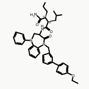 CCC[C@H](C(N)=O)[C@@H](CC(C)C)C(=O)NC1CN(c2ccccc2)c2ccccc2N(Cc2cccc(-c3ccc(OCC)cc3)c2)C1=O